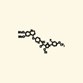 CCOc1cn(-c2ccc(OC(F)(F)F)cc2F)nc1C(=O)Nc1ccc(Oc2ccnc3cc(OC)c(OC)cc23)cn1